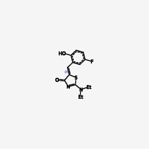 CCN(CC)C1=NC(=O)/C(=C/c2cc(F)ccc2O)S1